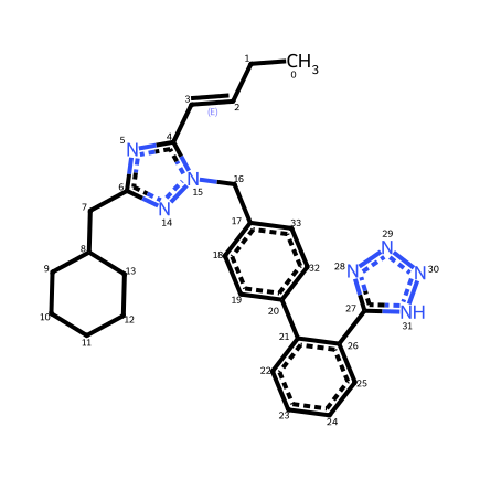 CC/C=C/c1nc(CC2CCCCC2)nn1Cc1ccc(-c2ccccc2-c2nnn[nH]2)cc1